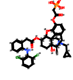 O=C(CP(=O)(O)O)Oc1ccc2c3c1OC1[C@H](OC(=O)Cc4ccccc4Nc4c(Cl)cccc4Cl)CC[C@@]4(O)[C@@H](C2)N(CC2CC2)CC[C@]314